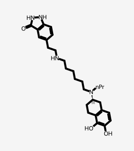 CCCN(CCCCCCNCCc1ccc2[nH][nH]c(=O)c2c1)[C@H]1CCc2c(ccc(O)c2O)C1